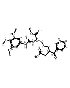 COC(=O)[C@H](CSCC(CC(=O)O)C(=O)c1cccnc1)NC(=O)Nc1cc(OC)c(OC)c(OC)c1